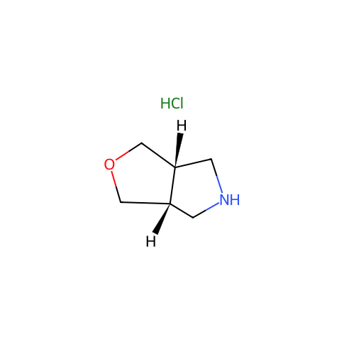 C1NC[C@H]2COC[C@@H]12.Cl